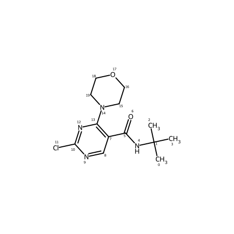 CC(C)(C)NC(=O)c1cnc(Cl)nc1N1CCOCC1